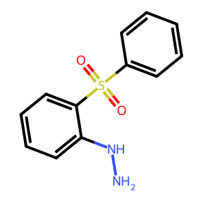 NNc1ccccc1S(=O)(=O)c1ccccc1